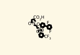 O=C(O)C1CC(=O)N(CC2CN(S(=O)(=O)c3cccc(C(F)(F)F)c3)c3cc(-c4cc(F)ccc4F)ccc3O2)C1